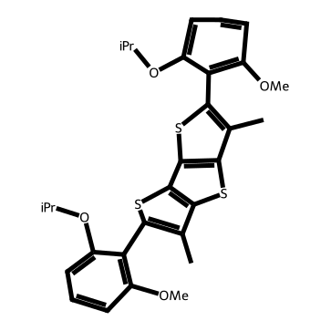 COc1cccc(OC(C)C)c1-c1sc2c(sc3c(C)c(-c4c(OC)cccc4OC(C)C)sc32)c1C